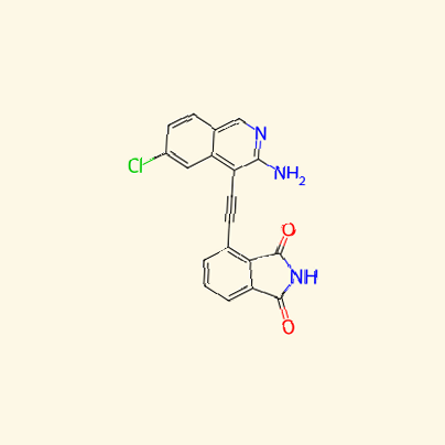 Nc1ncc2ccc(Cl)cc2c1C#Cc1cccc2c1C(=O)NC2=O